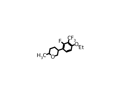 CCOc1ccc(C2CCC(C)OC2)c(F)c1C(F)(F)F